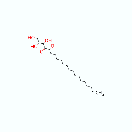 CCCCCCCCCCCCCCCCC(O)C(=O)C(O)C(O)CO